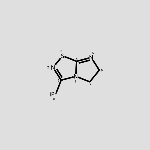 CC(C)C1=NSC2=NCCN21